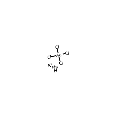 [Cl][Au-]([Cl])([Cl])[Cl].[K+].[NaH]